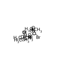 CN(c1cc(CBr)cc(-c2nnc(C(C)(Cc3ccccc3)NC(=O)OC(C)(C)C)o2)c1)S(C)(=O)=O